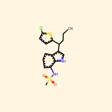 CS(=O)(=O)Nc1cccc2c(C(CCC#N)c3ccc(Cl)s3)c[nH]c12